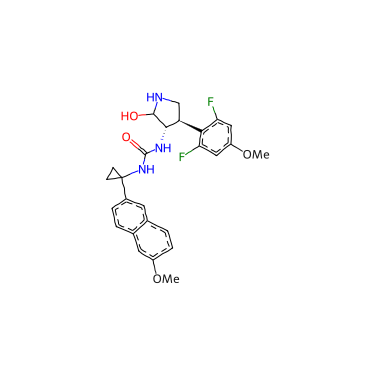 COc1cc(F)c([C@@H]2CNC(O)[C@H]2NC(=O)NC2(c3ccc4cc(OC)ccc4c3)CC2)c(F)c1